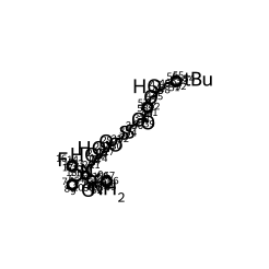 CC1c2c(c(-c3ccccc3)c(-c3ccc(F)cc3)n2CC[C@@H](O)C[C@@H](O)CC(=O)OCCSSCCOC(=O)c2ccc(OCC(O)CCc3ccc(C(C)(C)C)cc3)cc2)C(=O)C1(N)c1ccccc1